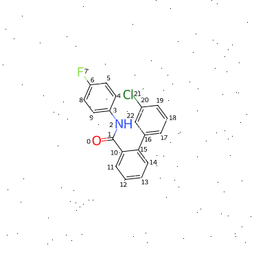 O=C(Nc1ccc(F)cc1)c1ccccc1-c1cccc(Cl)c1